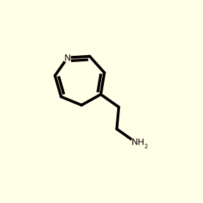 NCCC1=CC=NC=CC1